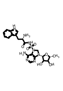 C[C@H]1O[C@@H](N2CN(S(=O)(=O)NC(=O)[C@@H](N)Cc3c[nH]c4ccccc34)c3c(N)ncnc32)C(O)C1O